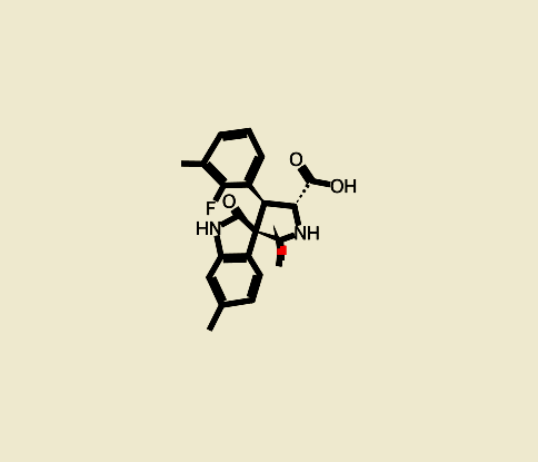 Cc1ccc2c(c1)NC(=O)[C@]21[C@@H](c2cccc(C)c2F)[C@H](C(=O)O)NC12CCCCC2